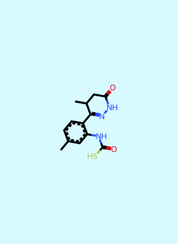 Cc1ccc(C2=NNC(=O)CC2C)c(NC(=O)S)c1